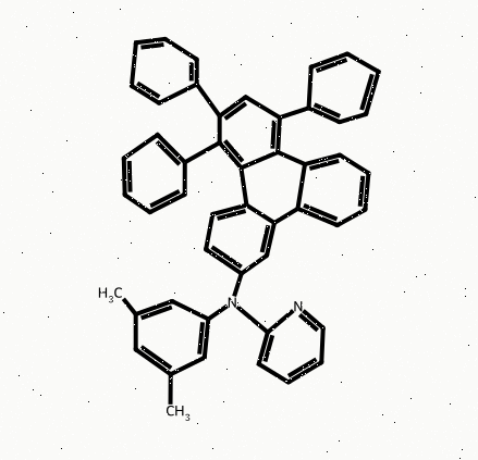 Cc1cc(C)cc(N(c2ccc3c(c2)c2ccccc2c2c(-c4ccccc4)cc(-c4ccccc4)c(-c4ccccc4)c32)c2ccccn2)c1